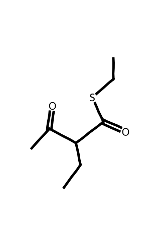 CCSC(=O)C(CC)C(C)=O